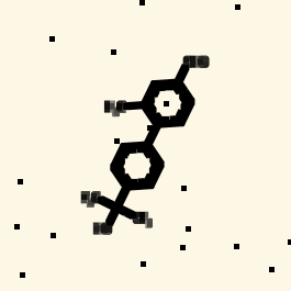 Cc1cc(C=O)ccc1-c1ccc(C(O)(C(F)(F)F)C(F)(F)F)cc1